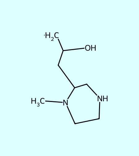 [CH2]C(O)CC1CNCCN1C